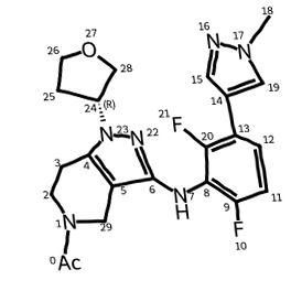 CC(=O)N1CCc2c(c(Nc3c(F)ccc(-c4cnn(C)c4)c3F)nn2[C@@H]2CCOC2)C1